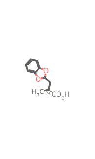 C[C@@H](CC1Oc2ccccc2O1)C(=O)O